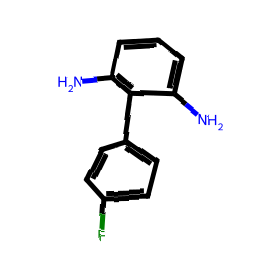 Nc1cccc(N)c1-c1ccc(F)cc1